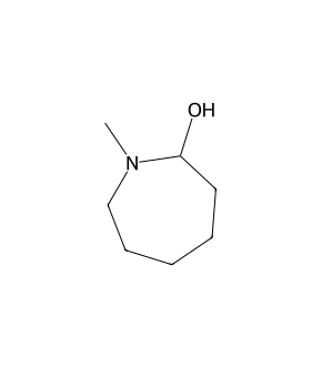 CN1CCCCCC1O